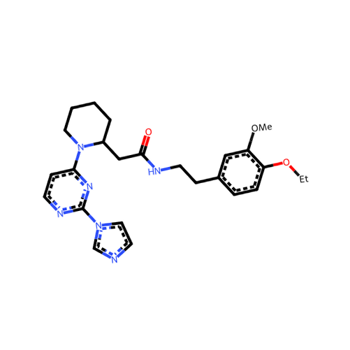 CCOc1ccc(CCNC(=O)CC2CCCCN2c2ccnc(-n3ccnc3)n2)cc1OC